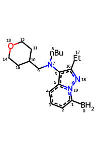 Bc1cccc2c(N(CCCC)CC3CCOCC3)c(CC)nn12